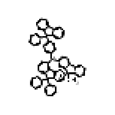 CC1(C)c2ccccc2-c2ccc(N(c3ccc(C4(c5ccccc5)c5ccccc5-c5ccccc54)cc3)c3cccc4c3C3=C(C=CCC3)C4(c3ccccc3)C3C=CC=CC3)cc21